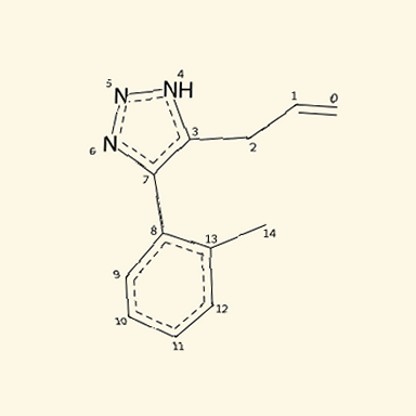 C=CCc1[nH]nnc1-c1ccccc1C